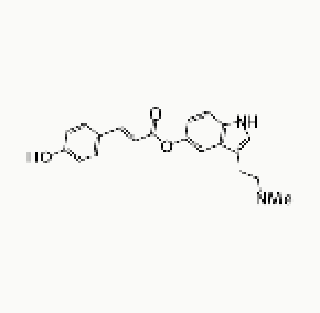 CNCCc1c[nH]c2ccc(OC(=O)/C=C/c3ccc(O)cc3)cc12